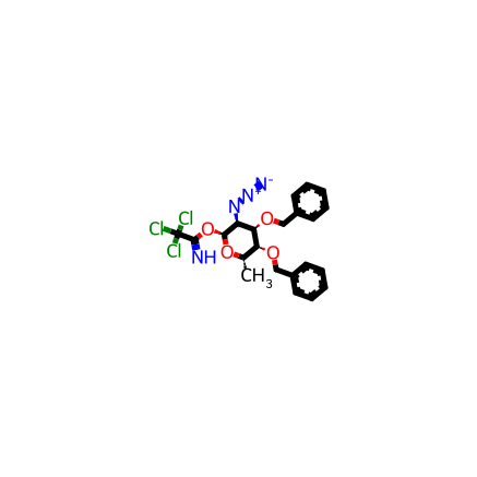 C[C@@H]1O[C@@H](OC(=N)C(Cl)(Cl)Cl)[C@@H](N=[N+]=[N-])[C@H](OCc2ccccc2)[C@@H]1OCc1ccccc1